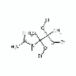 CCOC([SiH3])(NC(N)=O)C(C)(OCC)OCC